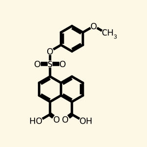 COc1ccc(OS(=O)(=O)c2ccc(C(=O)O)c3c(C(=O)O)cccc23)cc1